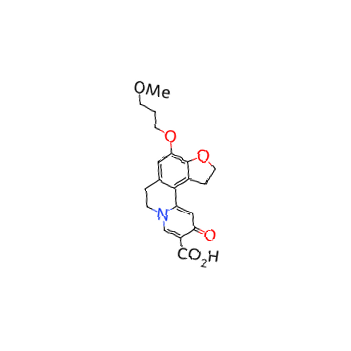 COCCCOc1cc2c(c3c1OCC3)-c1cc(=O)c(C(=O)O)cn1CC2